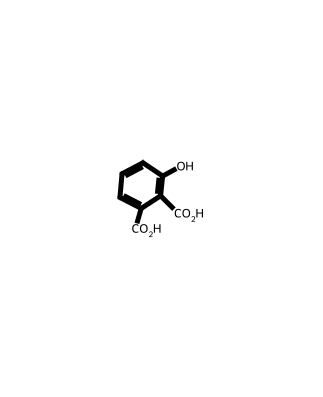 O=C(O)c1cc[c]c(O)c1C(=O)O